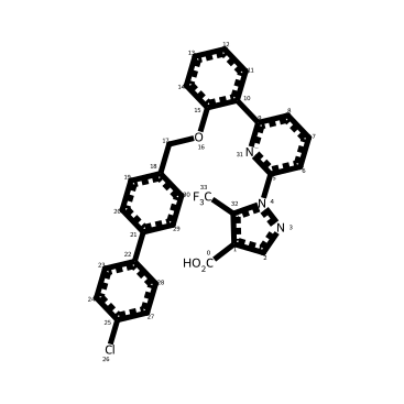 O=C(O)c1cnn(-c2cccc(-c3ccccc3OCc3ccc(-c4ccc(Cl)cc4)cc3)n2)c1C(F)(F)F